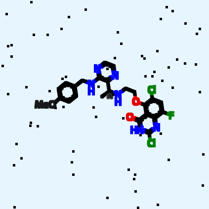 COc1ccc(CNc2nccnc2[C@H](C)NCCOc2c(Cl)cc(F)c3nc(Cl)[nH]c(=O)c23)cc1